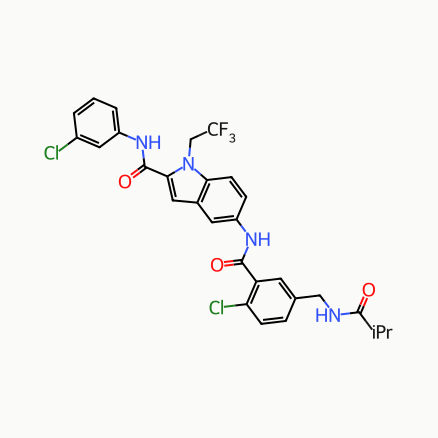 CC(C)C(=O)NCc1ccc(Cl)c(C(=O)Nc2ccc3c(c2)cc(C(=O)Nc2cccc(Cl)c2)n3CC(F)(F)F)c1